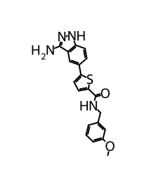 COc1cccc(CNC(=O)c2ccc(-c3ccc4[nH]nc(N)c4c3)s2)c1